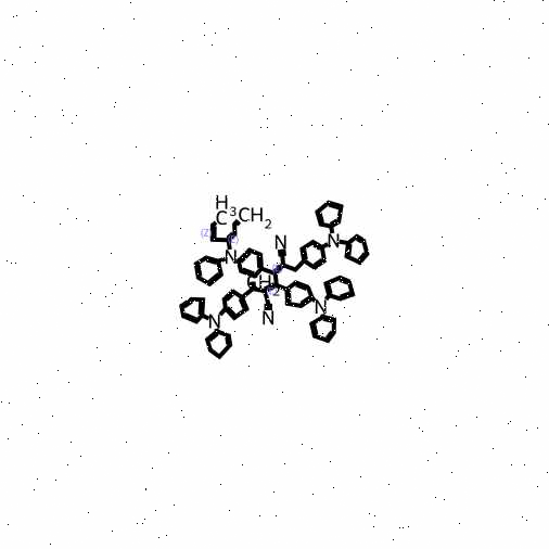 C=C/C=C(\C=C/C)N(c1ccccc1)c1ccc(C(=C(\C#N)Cc2ccc(N(c3ccccc3)c3ccccc3)cc2)/C(=C(/C#N)C(=C)c2ccc(N(C3=CCCC=C3)c3ccccc3)cc2)c2ccc(N(c3ccccc3)c3ccccc3)cc2)cc1